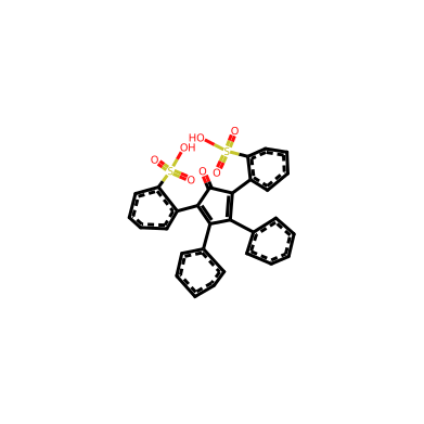 O=C1C(c2ccccc2S(=O)(=O)O)=C(c2ccccc2)C(c2ccccc2)=C1c1ccccc1S(=O)(=O)O